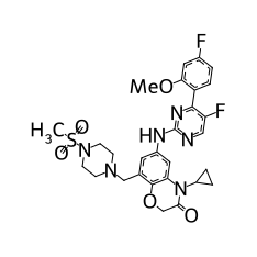 COc1cc(F)ccc1-c1nc(Nc2cc(CN3CCN(S(C)(=O)=O)CC3)c3c(c2)N(C2CC2)C(=O)CO3)ncc1F